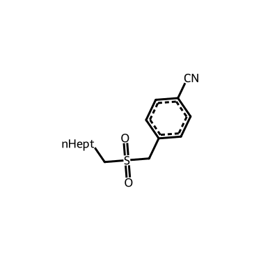 CCCCCCCCS(=O)(=O)Cc1ccc(C#N)cc1